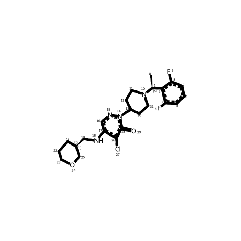 C[C@@H](c1c(F)cccc1F)N1CCC(n2ncc(NC[C@@H]3CCCOC3)c(Cl)c2=O)CC1